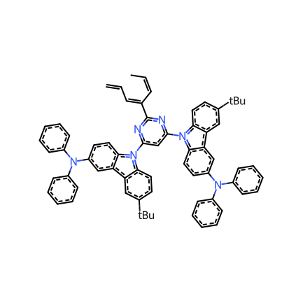 C=C/C=C(\C=C/C)c1nc(-n2c3ccc(N(c4ccccc4)c4ccccc4)cc3c3cc(C(C)(C)C)ccc32)cc(-n2c3ccc(N(c4ccccc4)c4ccccc4)cc3c3cc(C(C)(C)C)ccc32)n1